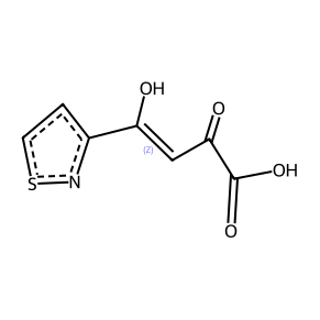 O=C(O)C(=O)/C=C(\O)c1ccsn1